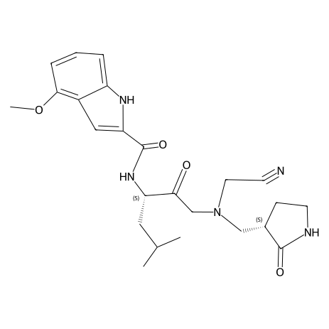 COc1cccc2[nH]c(C(=O)N[C@@H](CC(C)C)C(=O)CN(CC#N)C[C@@H]3CCNC3=O)cc12